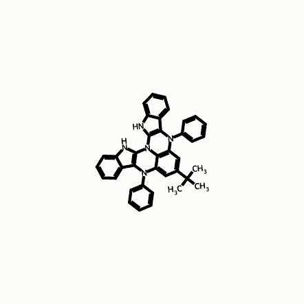 CC(C)(C)c1cc2c3c(c1)N(c1ccccc1)c1c([nH]c4ccccc14)N3c1[nH]c3ccccc3c1N2c1ccccc1